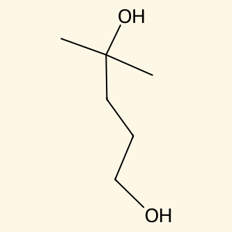 CC(C)(O)CCCO